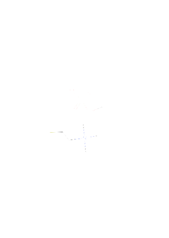 COS(=O)(=O)[O-].C[N+](C)(C)CCS